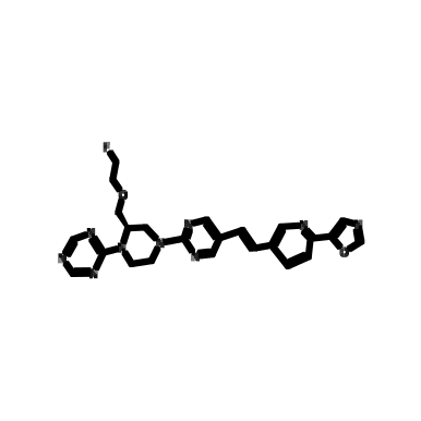 FCCOC[C@H]1CN(c2ncc(/C=C/c3ccc(-c4cnco4)nc3)cn2)CCN1c1ncncn1